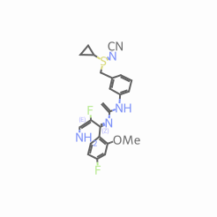 C=C(/N=C(\C(F)=C/N)c1ccc(F)cc1OC)Nc1cccc(CS(=NC#N)C2CC2)c1